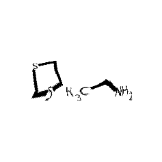 C1CSCS1.CCN